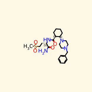 CS(=O)(=O)CC[C@H](NC(=O)[C@H]1CCCC[C@@H]1N1CCN(Cc2ccccc2)CC1)C(N)=O